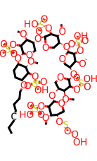 CCCCCCCCO[C@@H]1CC[C@@H](O[C@@H]2OC[C@@H](O[C@@H]3OC[C@@H](O[C@@H]4OC[C@@H](O[C@@H]5OC[C@@H](O[C@@H]6OC[C@H](OSOOO)[C@H](OC)C6OS(=O)(=O)O)[C@H](OC)C5OS(=O)(=O)O)[C@H](OC)C4OS(=O)(=O)O)[C@H](OC)C3OS(=O)(=O)O)[C@H](OC)C2OS(=O)(=O)O)[C@H](OC)C1OS(=O)(=O)O